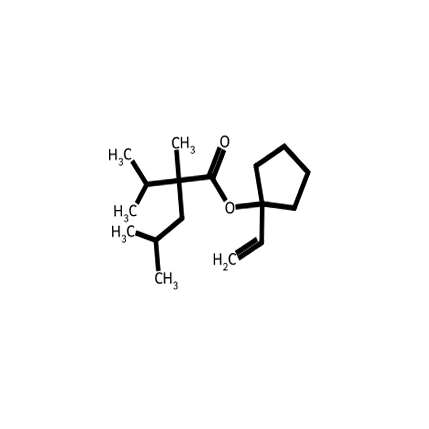 C=CC1(OC(=O)C(C)(CC(C)C)C(C)C)CCCC1